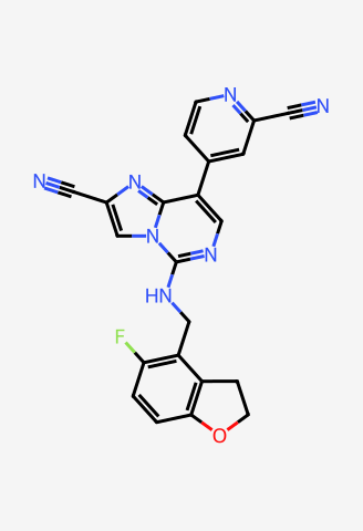 N#Cc1cc(-c2cnc(NCc3c(F)ccc4c3CCO4)n3cc(C#N)nc23)ccn1